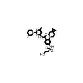 Cc1cc(NC(=O)c2ccc(NS(=O)(=O)CCO)cc2N2CCC3(CC2)CC3)nc(N2CCC[C@@H](C)C2)n1